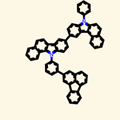 c1ccc(-n2c3ccc(-c4ccc5c(c4)c4ccc6ccccc6c4n5-c4cccc(-c5cc6c7c(cccc7c5)-c5ccccc5-6)c4)cc3c3c4ccccc4ccc32)cc1